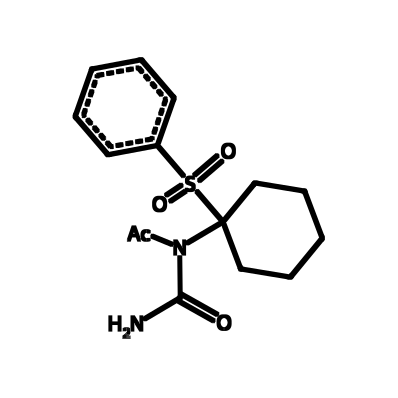 CC(=O)N(C(N)=O)C1(S(=O)(=O)c2ccccc2)CCCCC1